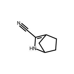 N#CC1=C2CCC(C2)N1